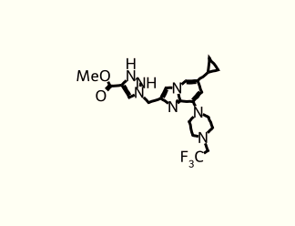 COC(=O)C1=CN(Cc2cn3cc(C4CC4)cc(N4CCN(CC(F)(F)F)CC4)c3n2)NN1